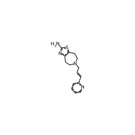 Nc1nc2c(s1)CCN(CC=Cc1ccccn1)CC2